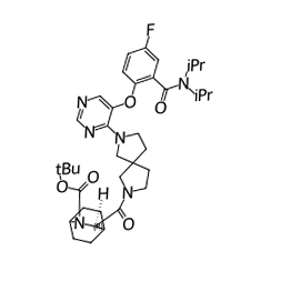 CC(C)N(C(=O)c1cc(F)ccc1Oc1cncnc1N1CCC2(CCN(C(=O)[C@H]3C4CCC(CC4)N3C(=O)OC(C)(C)C)C2)C1)C(C)C